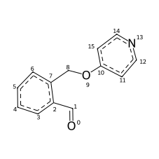 O=Cc1ccccc1COc1ccncc1